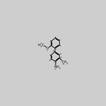 COc1ccccc1-c1ccc(N)c(C)c1